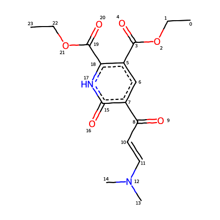 CCOC(=O)c1cc(C(=O)C=CN(C)C)c(=O)[nH]c1C(=O)OCC